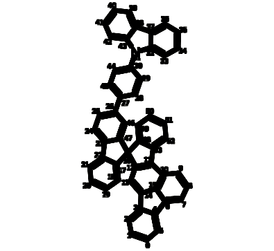 c1ccc2c(c1)-c1cccc3c4c(cc-2c13)C1(c2ccccc2-c2ccc(-c3ccc(-n5c6ccccc6c6ccccc65)cc3)cc21)c1ccccc1-4